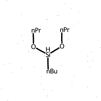 [CH2]CCC[SiH](OCCC)OCCC